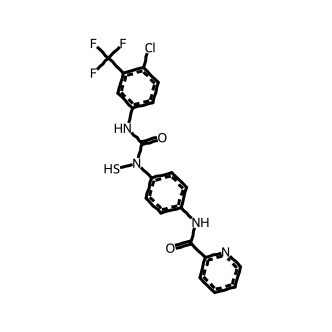 O=C(Nc1ccc(N(S)C(=O)Nc2ccc(Cl)c(C(F)(F)F)c2)cc1)c1ccccn1